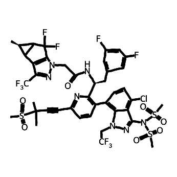 C[C@@H]1C2c3c(C(F)(F)F)nn(CC(=O)N[C@@H](Cc4cc(F)cc(F)c4)c4nc(C#CC(C)(C)S(C)(=O)=O)ccc4-c4ccc(Cl)c5c(N(S(C)(=O)=O)S(C)(=O)=O)nn(CC(F)(F)F)c45)c3C(F)(F)C21